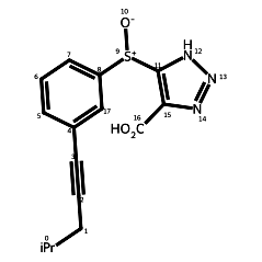 CC(C)CC#Cc1cccc([S+]([O-])c2[nH]nnc2C(=O)O)c1